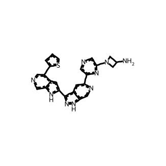 NC1CN(c2cncc(-c3cc4c(-c5cc6c(-c7cccs7)cncc6[nH]5)n[nH]c4cn3)n2)C1